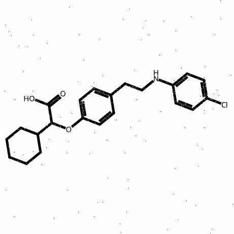 O=C(O)C(Oc1ccc(CCNc2ccc(Cl)cc2)cc1)C1CCCCC1